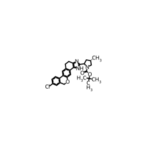 C[C@H]1CC(c2nc3c([nH]2)-c2cc4c(cc2CC3)-c2ccc(Cl)cc2CO4)N(C(=O)OC(C)(C)C)C1